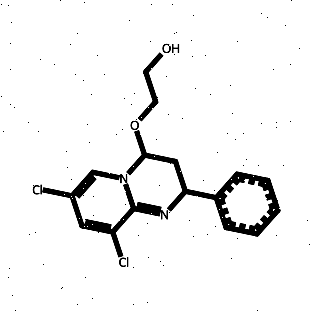 OCCOC1CC(c2ccccc2)N=C2C(Cl)=CC(Cl)=CN21